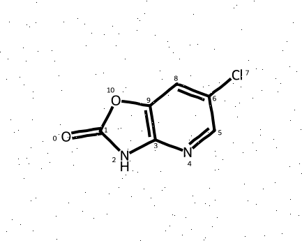 O=c1[nH]c2ncc(Cl)cc2o1